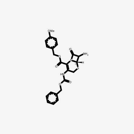 COc1ccc(COC(=O)C2=C(NC(=O)OCc3ccccc3)CS[C@H]3C(N)C(=O)N23)cc1